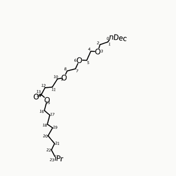 CCCCCCCCCCCCOCCOCCOCCCC(=O)OCCCCCCCC(C)C